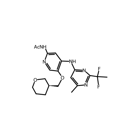 CC(=O)Nc1cc(Nc2cc(C)nc(C(C)(F)F)n2)c(OC[C@H]2CCCOC2)cn1